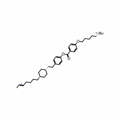 C/C=C/CCCC[C@H]1CC[C@H](CCc2ccc(OC(=O)c3ccc(OCCCCC[C@@H](C)CC)cc3)cc2)CC1